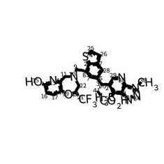 Cc1c([C@H](CC(=O)O)c2cc(CN3Cc4nc(O)ccc4O[C@H](C(F)(F)F)C3)c3sccc3c2)cnc2c1nnn2C